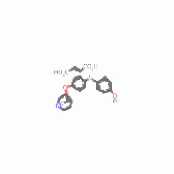 CC(C)Oc1ccc(Sc2ccc(OC3CN4CCC3CC4)cc2)cc1.O=C(O)C=CC(=O)O